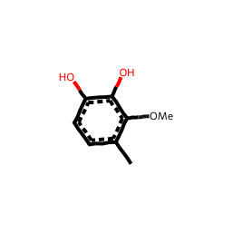 COc1c(C)ccc(O)c1O